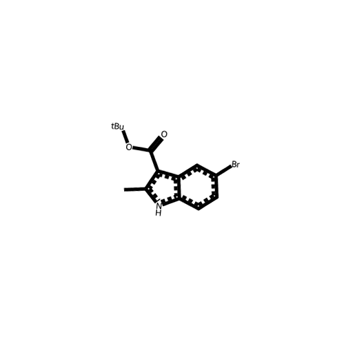 Cc1[nH]c2ccc(Br)cc2c1C(=O)OC(C)(C)C